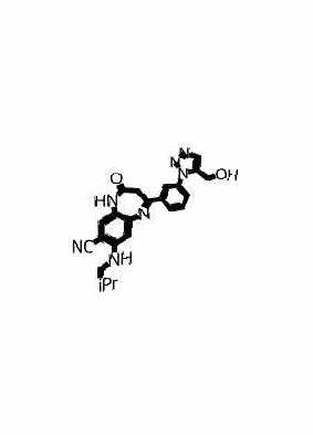 CC(C)CNc1cc2c(cc1C#N)NC(=O)CC(c1cccc(-n3nncc3CO)c1)=N2